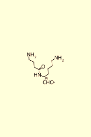 NCCCC[C@H]([C]=O)NC(=O)CCCN